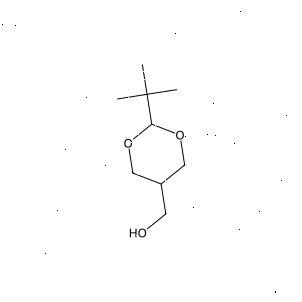 CC(C)(C)C1OCC(CO)CO1